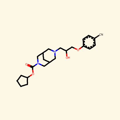 N#Cc1ccc(OCC(O)CN2CC3CC(C2)CN(C(=O)OC2CCCC2)C3)cc1